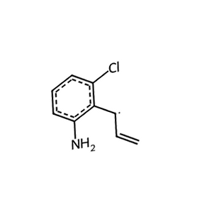 C=C[CH]c1c(N)cccc1Cl